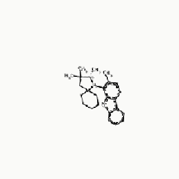 Cc1ccc2c(oc3ccccc32)c1N1[C@@H](C)C(C)(C)CC12CCCCC2